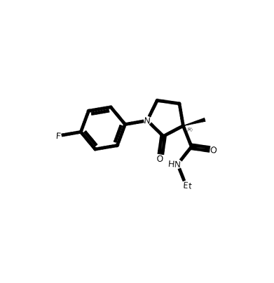 CCNC(=O)[C@@]1(C)CCN(c2ccc(F)cc2)C1=O